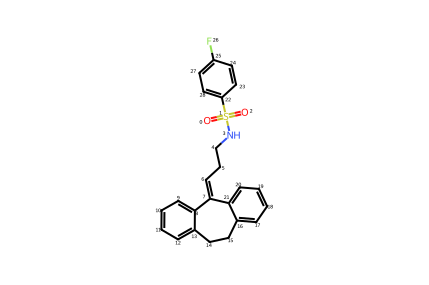 O=S(=O)(NCCC=C1c2ccccc2CCc2ccccc21)c1ccc(F)cc1